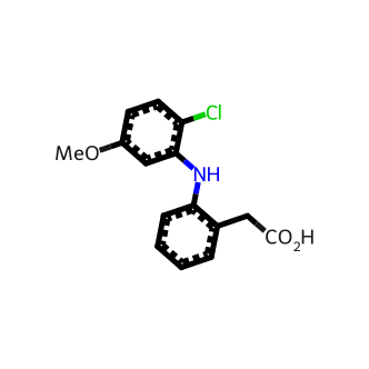 COc1ccc(Cl)c(Nc2ccccc2CC(=O)O)c1